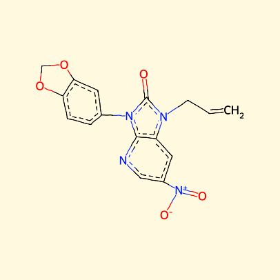 C=CCn1c(=O)n(-c2ccc3c(c2)OCO3)c2ncc([N+](=O)[O-])cc21